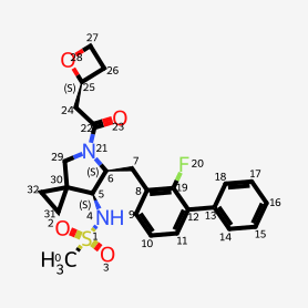 CS(=O)(=O)N[C@@H]1[C@H](Cc2cccc(-c3ccccc3)c2F)N(C(=O)C[C@@H]2CCO2)CC12CC2